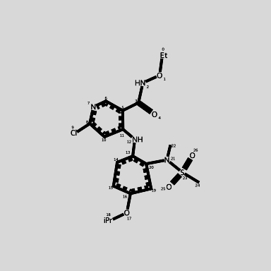 CCONC(=O)c1cnc(Cl)cc1Nc1ccc(OC(C)C)cc1N(C)S(C)(=O)=O